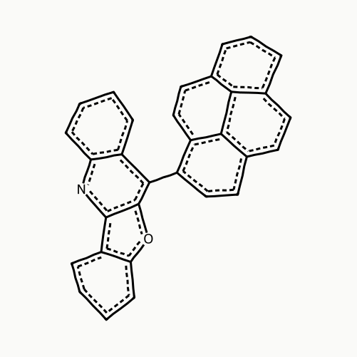 c1cc2ccc3ccc(-c4c5ccccc5nc5c4oc4ccccc45)c4ccc(c1)c2c34